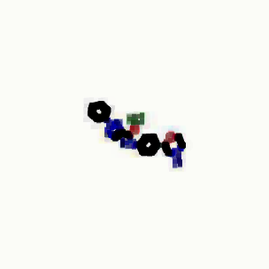 Cl.O=C(Nc1ccc([C@H]2CNCCO2)cc1)c1cnn(-c2ccccc2)n1